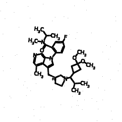 COC1(OC)CC(C(C(C)C)N2CC[C@@H](Cc3cn(-c4ccc(F)cc4C(=O)N(C)C(C)C)c4cncc(C)c34)C2)C1